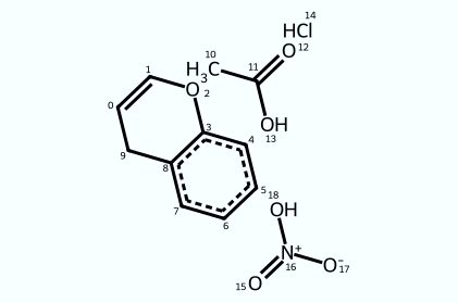 C1=COc2ccccc2C1.CC(=O)O.Cl.O=[N+]([O-])O